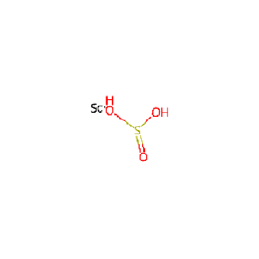 O=S(O)O.[Sc]